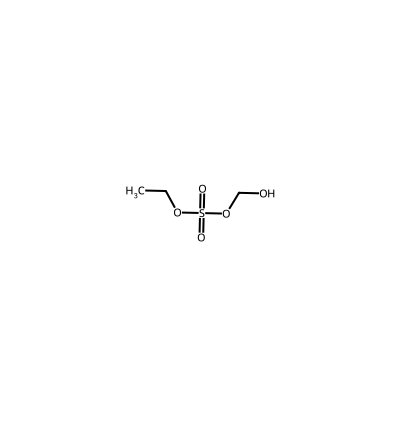 CCOS(=O)(=O)OCO